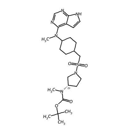 CN(c1ncnc2[nH]ccc12)C1CCC(CS(=O)(=O)N2CC[C@H](N(C)C(=O)OC(C)(C)C)C2)CC1